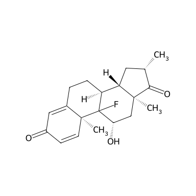 C[C@H]1C[C@H]2[C@@H]3CCC4=CC(=O)C=C[C@]4(C)C3(F)[C@@H](O)C[C@]2(C)C1=O